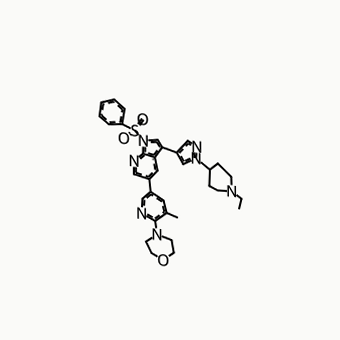 CCN1CCC(n2cc(-c3cn(S(=O)(=O)c4ccccc4)c4ncc(-c5cnc(N6CCOCC6)c(C)c5)cc34)cn2)CC1